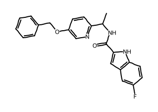 CC(NC(=O)c1cc2cc(F)ccc2[nH]1)c1ccc(OCc2ccccc2)cn1